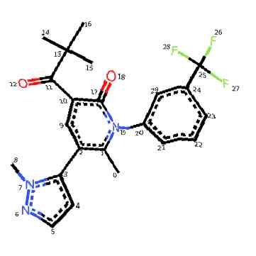 Cc1c(-c2ccnn2C)cc(C(=O)C(C)(C)C)c(=O)n1-c1cccc(C(F)(F)F)c1